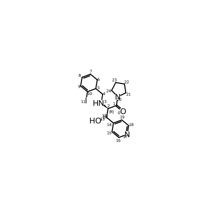 O=C([C@H](NCC1CC=CC=C1I)[C@@H](O)c1ccncc1)N1CCCC1